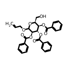 C=CCOC1O[C@@H](CO)[C@@H](OC(=O)c2ccccc2)[C@H](OC(=O)c2ccccc2)[C@H]1OC(=O)c1ccccc1